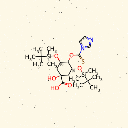 CC(C)(C)[Si](C)(C)O[C@@H]1CC(O)(C(=O)O)C[C@@H](O[Si](C)(C)C(C)(C)C)C1OC(=S)n1ccnc1